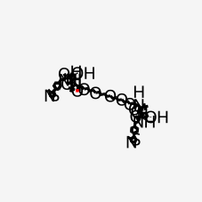 Cc1ncsc1-c1ccc(CNC(=O)[C@@H]2C[C@@H](O)CN2C(=O)[C@@H](NC(=O)COCCCOCCCCOCCCOCCOCC(=O)N[C@H](C(=O)N2C[C@H](O)C[C@H]2C(=O)NCc2ccc(-c3scnc3C)cc2)C(C)(C)C)C(C)(C)C)cc1